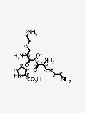 NCCSC[C@H](N)C(=O)[S+]([O-])C(=O)[C@@H](N)CSCCN.O=C(O)[C@@H]1CCCN1